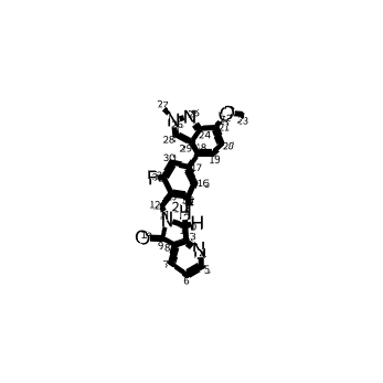 [2H]C1([2H])c2ncccc2C(=O)N1Cc1c(F)cc(-c2ccc(OC)c3nn(C)cc23)cc1F